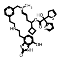 CN(/C=C/CC(OC(=O)C(O)(c1cccs1)C1CC=CS1)C1CCC1)Cc1cccc(CCNCCc2ccc(O)c3[nH]c(=O)sc23)c1